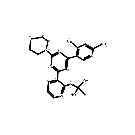 CC(O)(O)Nc1ncccc1-c1cc(-c2cnc(N)cc2Cl)nc(N2CCOCC2)n1